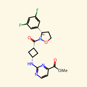 COC(=O)c1ccnc(N[C@H]2C[C@@H](C(=O)N3OCC[C@H]3c3cc(F)cc(F)c3)C2)n1